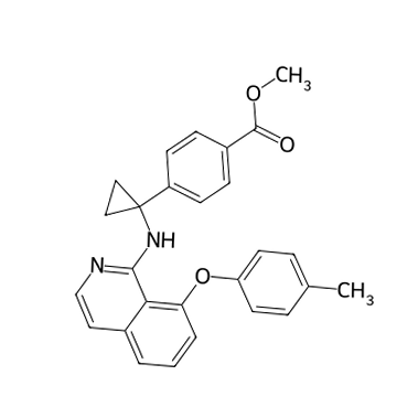 COC(=O)c1ccc(C2(Nc3nccc4cccc(Oc5ccc(C)cc5)c34)CC2)cc1